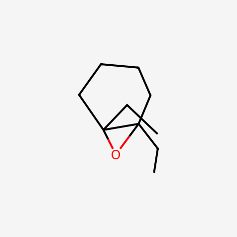 CCC12CCCCC1(CC)O2